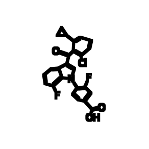 O=C(O)c1ccc(-n2cc(C(=O)c3c(Cl)cccc3C3CC3)c3cccc(F)c32)c(F)c1